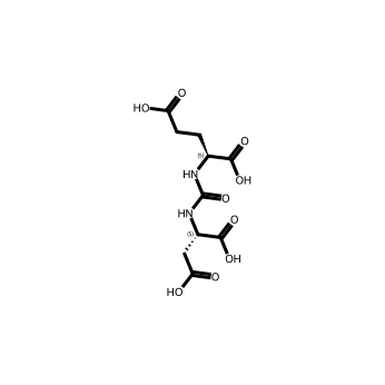 O=C(O)CC[C@H](NC(=O)N[C@@H](CC(=O)O)C(=O)O)C(=O)O